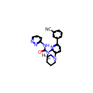 N#Cc1cccc(-c2ccc3c(n2)N(C(=O)Nc2cccnn2)[C@@H]2CCCN3C2)c1